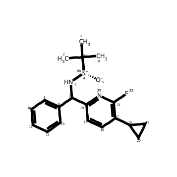 CC(C)(C)[S@+]([O-])NC(c1ccccc1)c1ccc(C2CC2)c(F)n1